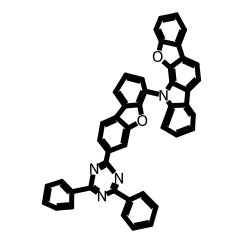 c1ccc(-c2nc(-c3ccccc3)nc(-c3ccc4c(c3)oc3c(-n5c6ccccc6c6ccc7c8ccccc8oc7c65)cccc34)n2)cc1